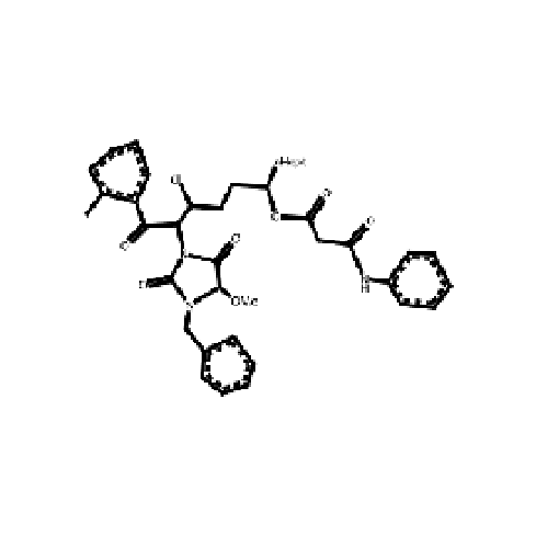 CCCCCCCC(CCC(Cl)C(C(=O)c1ccccc1C)N1C(=O)C(OC)N(Cc2ccccc2)C1=O)OC(=O)CC(=O)Nc1ccccc1